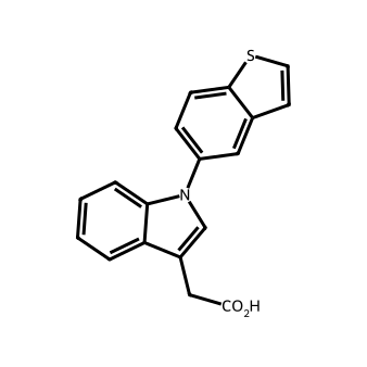 O=C(O)Cc1cn(-c2ccc3sccc3c2)c2ccccc12